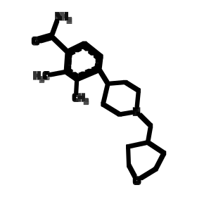 Cc1c(C(N)=O)ccc(C2CCN(CC3CCOCC3)CC2)c1C